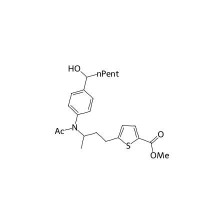 CCCCCC(O)c1ccc(N(C(C)=O)C(C)CCc2ccc(C(=O)OC)s2)cc1